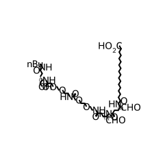 CCCCNC(=O)CC[C@@H](CO)NC(=O)COCCOCCNC(=O)COCCOCCNC(=O)CC[C@@H](C=O)NC(=O)CC[C@@H](C=O)NC(=O)CCCCCCCCCCCCCCCCC(=O)O